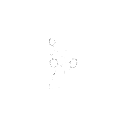 Cc1ccccc1C(CCC(=O)O)Oc1cc(OCc2ccsc2)ccc1C=NOCC(=O)O